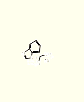 NCC(=O)O.[Ni].c1ccc2[nH]cnc2c1